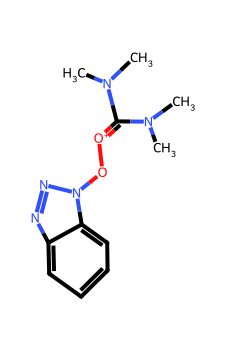 CN(C)C(=[O+]On1nnc2ccccc21)N(C)C